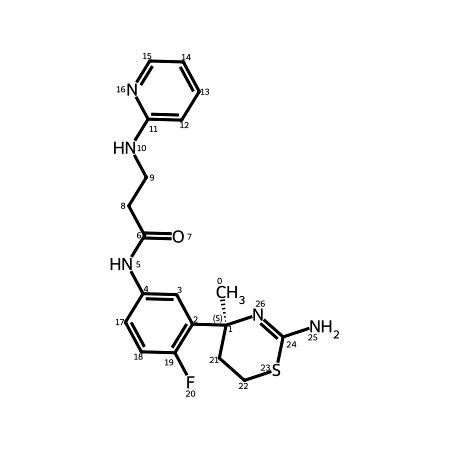 C[C@@]1(c2cc(NC(=O)CCNc3ccccn3)ccc2F)CCSC(N)=N1